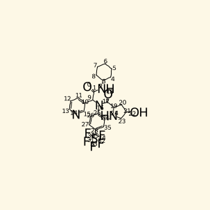 O=C(NC1CCCCC1)C(c1cccnc1)N(C(=O)C1CC(O)CN1)c1ccc(S(F)(F)(F)(F)F)cc1